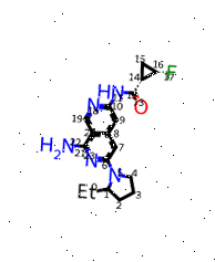 CCC1CCCN1c1cc2cc(NC(=O)[C@@H]3C[C@@H]3F)ncc2c(N)n1